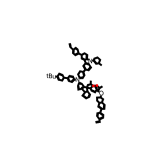 C=Cc1ccc(C2=CC3CCC(OCC(C)CCC(C)CC4(C5C=CC=CC5)c5cc(N(C6=CC=C(c7ccc8c(c7)c7c(n8C8=CC(C)CCC8)=CCC(c8ccc(C=C)cc8)C=7)CC6)c6ccc(C7C=CC(C(C)(C)C)=CC7)cc6)ccc5C5C=CC=CC54)CC3C=C2)cc1